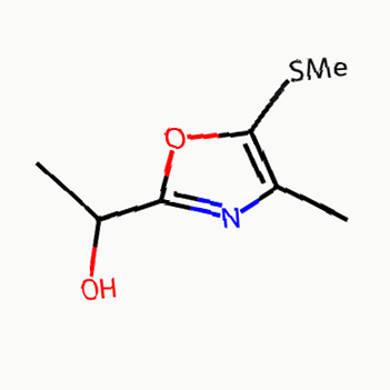 CSc1oc(C(C)O)nc1C